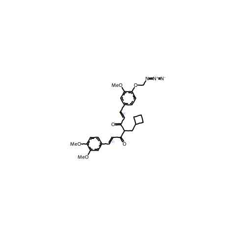 COc1ccc(/C=C/C(=O)C(CC2CCC2)C(=O)/C=C/c2ccc(OCN=[N+]=[N-])c(OC)c2)cc1OC